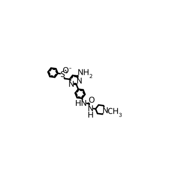 CN1CCC(NC(=O)Nc2ccc(-c3nc(N)cc(C[S+]([O-])c4ccccc4)n3)cc2)CC1